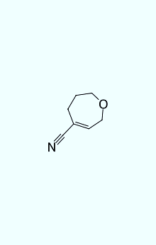 N#CC1=CCOCCC1